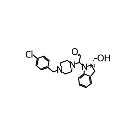 O=CC(N1CCN(Cc2ccc(Cl)cc2)CC1)N1c2ccccc2C[C@H]1CO